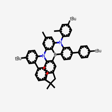 Cc1cc2c3c(c1)N(c1ccc(C(C)(C)C)cc1-c1ccccc1)c1cc4c(cc1B3c1ccc(-c3ccc(C(C)(C)C)cc3)cc1N2c1ccc(C(C)(C)C)cc1C)CC(C)(C)C4